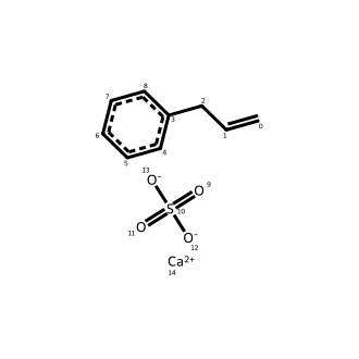 C=CCc1ccccc1.O=S(=O)([O-])[O-].[Ca+2]